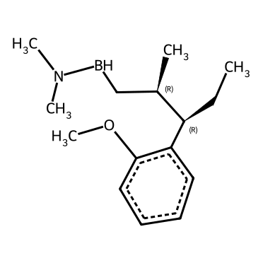 CC[C@@H](c1ccccc1OC)[C@H](C)CBN(C)C